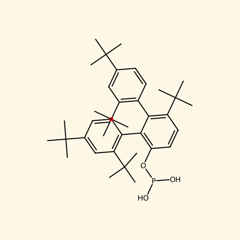 CC(C)(C)c1ccc(-c2c(OP(O)O)ccc(C(C)(C)C)c2-c2ccc(C(C)(C)C)cc2C(C)(C)C)c(C(C)(C)C)c1